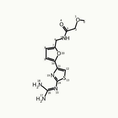 COCC(=O)NCc1ccc(-c2csc(N=C(N)N)n2)o1